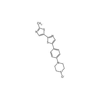 Cc1ncc(-c2ncc(-c3ccc(N4CC[S+]([O-])CC4)cc3)s2)s1